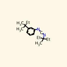 CCC(C)(CC)N=C=Nc1cccc(C(C)(C)CC)c1